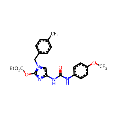 CCOC(=O)Oc1nc(NC(=O)Nc2ccc(OC(F)(F)F)cc2)cn1Cc1ccc(C(F)(F)F)cc1